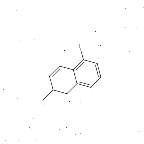 CC1C=Cc2c(I)cccc2C1